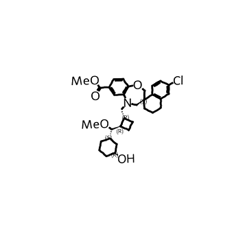 COC(=O)c1ccc2c(c1)N(C[C@@H]1CC[C@H]1C(OC)[C@H]1CCC[C@@H](O)C1)C[C@@]1(CCCc3cc(Cl)ccc31)CO2